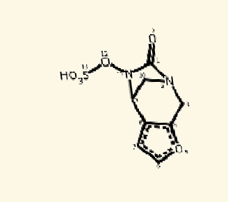 O=C1N2Cc3occc3C(C2)N1OS(=O)(=O)O